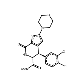 CNC(=O)[C@@H]1NC(=O)c2sc(N3CCOCC3)cc2[C@H]1c1ccc(Cl)c(Cl)c1